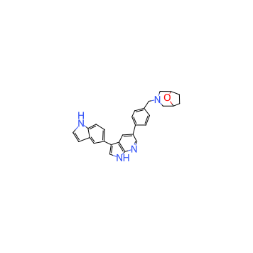 c1cc2cc(-c3c[nH]c4ncc(-c5ccc(CN6CC7CCC(C6)O7)cc5)cc34)ccc2[nH]1